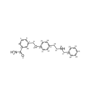 NC(=O)c1cccc(COc2ccc(CCNCc3ccccc3)cc2)c1